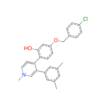 Cc1cc(C)cc(C2=CN(C)C=C=C2c2ccc(OCc3ccc(Cl)cc3)cc2O)c1